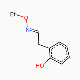 CCON=CCc1ccccc1O